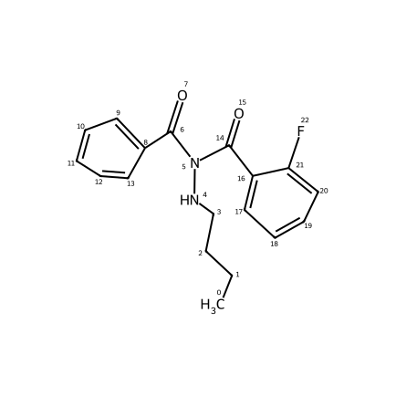 CCCCNN(C(=O)c1ccccc1)C(=O)c1ccccc1F